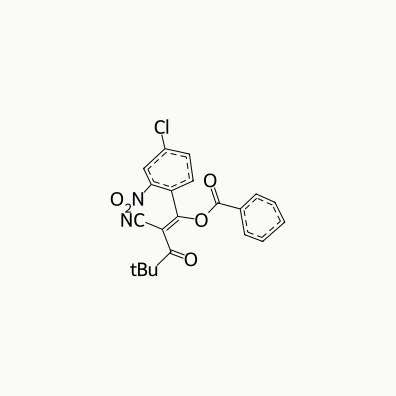 CC(C)(C)C(=O)C(C#N)=C(OC(=O)c1ccccc1)c1ccc(Cl)cc1[N+](=O)[O-]